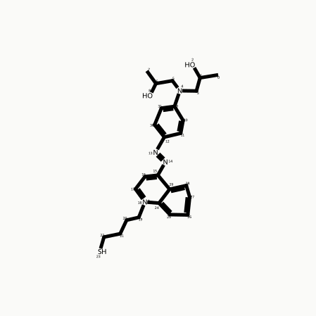 CC(O)CN(CC(C)O)c1ccc(/N=N/c2cc[n+](CCCCS)c3ccccc23)cc1